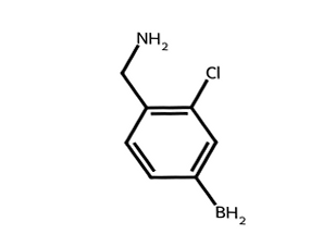 Bc1ccc(CN)c(Cl)c1